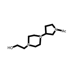 CC(=O)N1CCC(N2CCN(CCO)CC2)C1